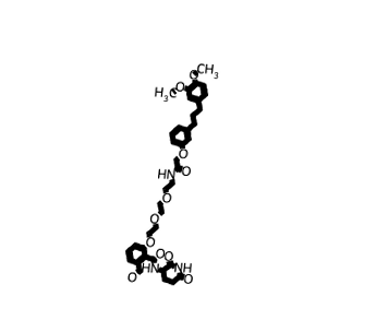 COc1ccc(CCCc2cccc(OCC(=O)NCCOCCOCCOc3cccc(C=O)c3C(=O)NC3CCC(=O)NC3=O)c2)cc1OC